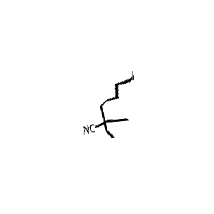 CC(C)(C#N)CCCI